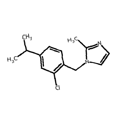 Cc1nccn1Cc1ccc(C(C)C)cc1Cl